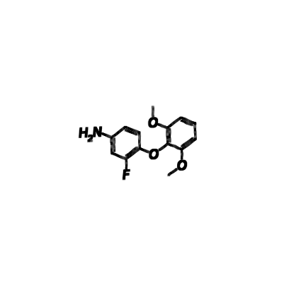 COc1cccc(OC)c1Oc1ccc(N)cc1F